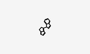 C1=CC2=C(C3C=Cc4ccccc43)CCC2=C1